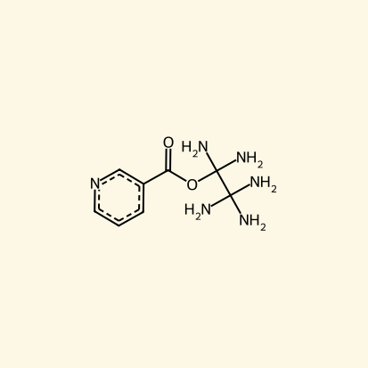 NC(N)(N)C(N)(N)OC(=O)c1cccnc1